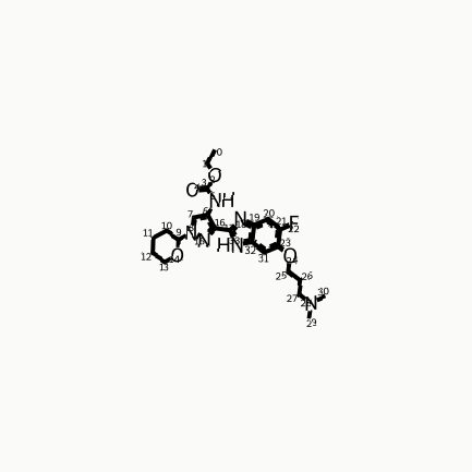 CCOC(=O)Nc1cn(C2CCCCO2)nc1-c1nc2cc(F)c(OCCCN(C)C)cc2[nH]1